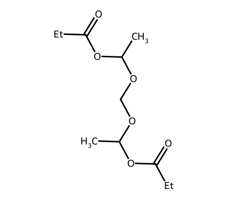 CCC(=O)OC(C)OCOC(C)OC(=O)CC